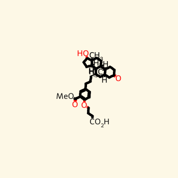 COC(=O)c1cc(CCC[C@@H]2C[C@H]3CC(=O)CC[C@]3(C)[C@H]3CC[C@]4(C)C(O)CC[C@H]4[C@H]23)ccc1OCCCC(=O)O